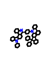 c1ccc(-c2ccccc2N(c2ccc(-c3nc4ccccc4c4c3ccc3c4c4ccccc4n3-c3ccccc3)cc2)c2ccc3c(c2)C(c2ccccc2)(c2ccccc2)c2ccccc2-3)cc1